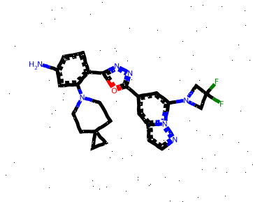 Nc1ccc(-c2nnc(-c3cc(N4CC(F)(F)C4)n4nccc4c3)o2)c(N2CCC3(CC2)CC3)c1